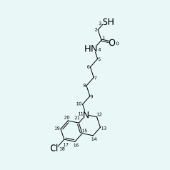 O=C(CS)NCCCCCCN1CCCc2cc(Cl)ccc21